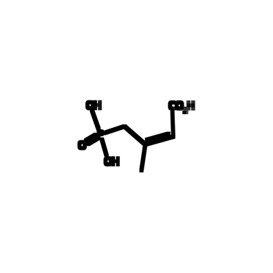 CC(=CC(=O)O)CP(=O)(O)O